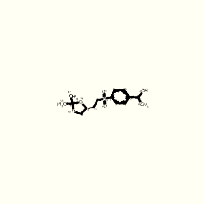 CC(O)c1ccc(S(=O)(=O)CC[C@H]2COC(C)(C)O2)cc1